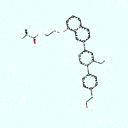 C=C(C)C(=O)OCCOc1cccc2ccc(-c3ccc(-c4ccc(CCO)cc4)c(CC)c3)cc12